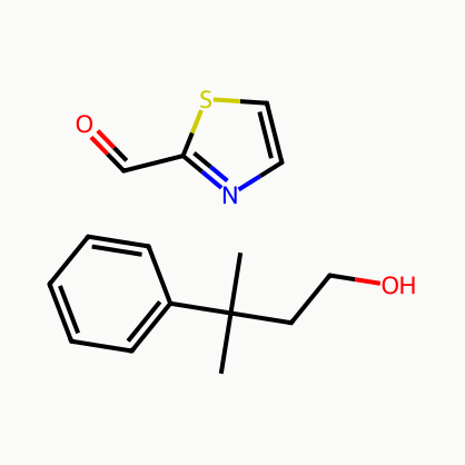 CC(C)(CCO)c1ccccc1.O=Cc1nccs1